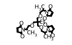 CCC(COCC(C)N1C(=O)C=CC1=O)(COCC(C)N1C(=O)C=CC1=O)COCC(C)N1C(=O)C=CC1=O